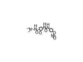 CCN(CC)CCNC(=O)c1ccc(NC(=O)Nc2ccc(Oc3cocn3)cc2)cc1OC